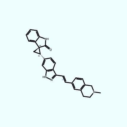 CN1CCc2cc(/C=C/c3n[nH]c4cc([C@@H]5C[C@@]56C(=O)Nc5ccccc56)ccc34)ccc2C1